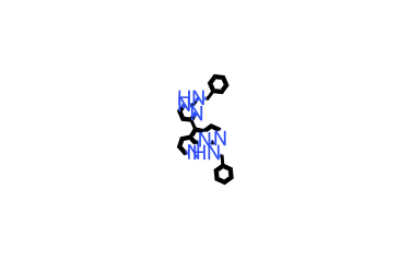 c1ccc(CNc2nccc(-c3c4cccnc4n4c(NCc5ccccc5)nccc34)n2)cc1